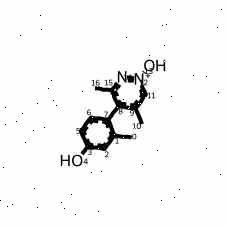 Cc1cc(O)ccc1-c1c(C)c[n+](O)nc1C